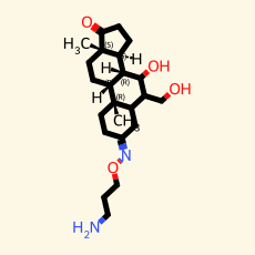 C[C@]12CCC(=NOCCCN)CC1C(CO)C(O)[C@@H]1[C@H]2CC[C@]2(C)C(=O)CC[C@@H]12